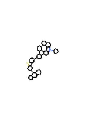 c1ccc(-n2c3ccc4ccccc4c3c3c4c5ccccc5c5cc(-c6ccc7sc8ccc(-c9c%10ccccc%10cc%10ccccc9%10)cc8c7c6)ccc5c4ccc32)cc1